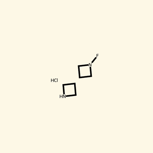 C1CNC1.Cl.FN1CCC1